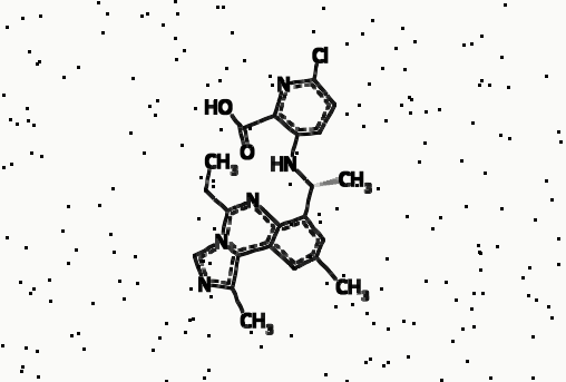 CCc1nc2c([C@@H](C)Nc3ccc(Cl)nc3C(=O)O)cc(C)cc2c2c(C)ncn12